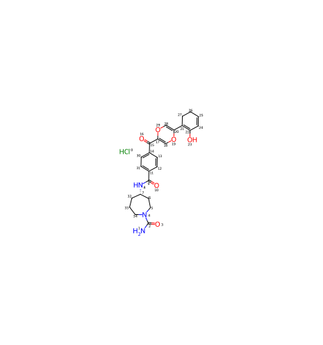 Cl.NC(=O)N1C[CH][C@@H](NC(=O)c2ccc(C(=O)C3=COC(C4=C(O)C=CCC4)=CO3)cc2)CCC1